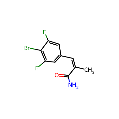 CC(=Cc1cc(F)c(Br)c(F)c1)C(N)=O